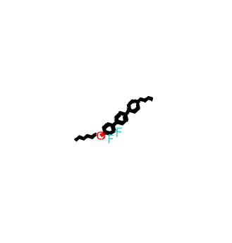 C=CCCC1CCC(c2ccc(-c3ccc(OCCCCCC)c(F)c3F)cc2)CC1